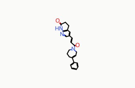 O=C1CCc2cc(/C=C/C(=O)N3CC=C(c4ccccc4)CCC3)cnc2N1